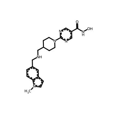 Cn1ccc2cc(CNCC3CCN(c4ncc(C(=O)NO)cn4)CC3)ccc21